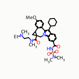 CCN(C)CCN(C)C(=O)C12CC1c1cc(OC)ccc1-c1c(C3CCCCC3)c3ccc(C(=O)NS(=O)(=O)N(C)C)cc3n1C2